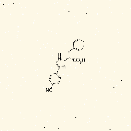 N#Cc1ccc(-c2c[nH]c(C(Cc3ccccc3)C(=O)O)n2)cc1